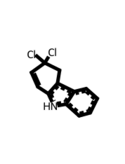 ClC1(Cl)C=Cc2[nH]c3ccccc3c2C1